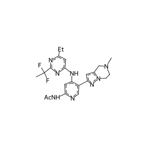 CCc1cc(Nc2cc(NC(C)=O)ncc2-c2cc3n(n2)CCN(C)C3)nc(C(C)(F)F)n1